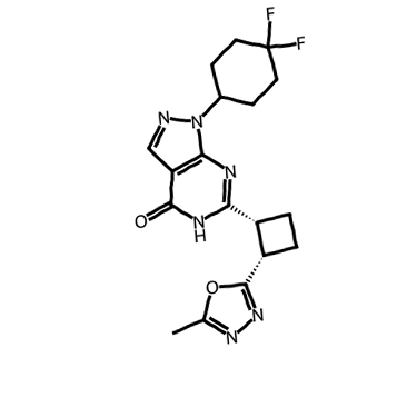 Cc1nnc([C@H]2CC[C@H]2c2nc3c(cnn3C3CCC(F)(F)CC3)c(=O)[nH]2)o1